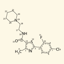 Cc1nc(-c2ccc(Cl)cc2F)sc1C(=O)NCCN1CCCCC1